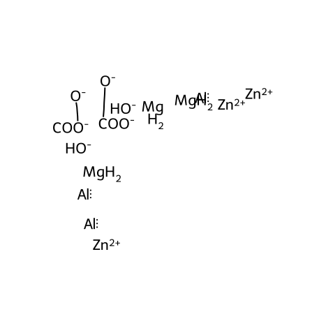 O=C([O-])[O-].O=C([O-])[O-].[Al].[Al].[Al].[MgH2].[MgH2].[MgH2].[OH-].[OH-].[Zn+2].[Zn+2].[Zn+2]